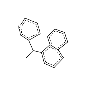 C[C](c1cccnc1)c1cccc2ccccc12